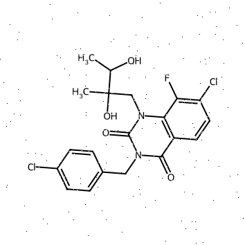 CC(O)C(C)(O)Cn1c(=O)n(Cc2ccc(Cl)cc2)c(=O)c2ccc(Cl)c(F)c21